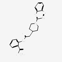 COC(=O)c1ccccc1NC(=O)CC1CCN(c2nnc3ccccc3n2)CC1